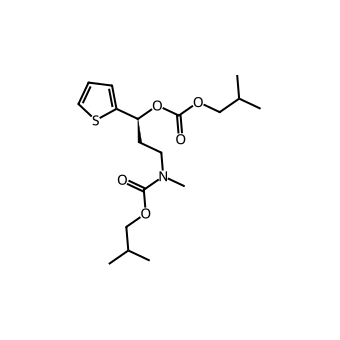 CC(C)COC(=O)O[C@@H](CCN(C)C(=O)OCC(C)C)c1cccs1